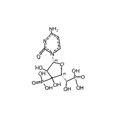 Nc1ccn([C@@H]2O[C@H](C(O)P(=O)(O)O)C(O)(P(=O)(O)O)C2O)c(=O)n1